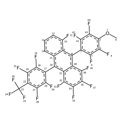 COc1c(F)c(F)c(-c2c3c(F)cccc3c(-c3c(F)c(F)c(C(F)(F)F)c(F)c3F)c3c(F)c(F)c(F)c(F)c23)c(F)c1F